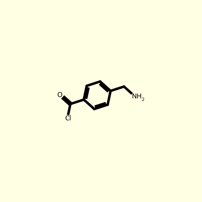 NCc1ccc(C(=O)Cl)cc1